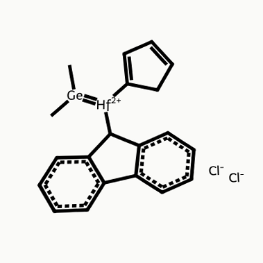 [CH3][Ge]([CH3])=[Hf+2]([C]1=CC=CC1)[CH]1c2ccccc2-c2ccccc21.[Cl-].[Cl-]